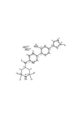 CN(c1ncc(-c2ccc(-c3cnn(C)c3)cc2O)nn1)C1CC(C)(C)NC(C)(C)C1.Cl.Cl